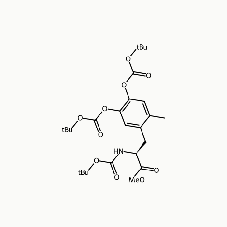 COC(=O)[C@H](Cc1cc(OC(=O)OC(C)(C)C)c(OC(=O)OC(C)(C)C)cc1C)NC(=O)OC(C)(C)C